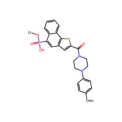 CCOP(=O)(O)c1cc2cc(C(=O)N3CCN(c4ccc(OC)cc4)CC3)sc2c2ccccc12